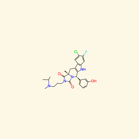 CC(C)N(C)CCCN1C(=O)N2[C@H](c3cccc(O)c3)c3[nH]c4cc(F)c(Cl)cc4c3C[C@@]2(C)C1=O